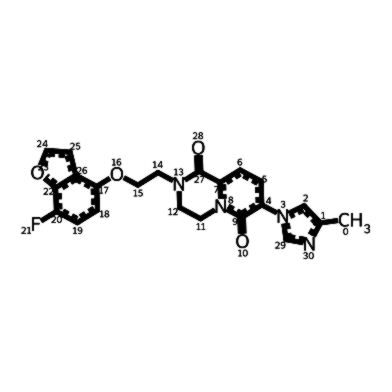 Cc1cn(-c2ccc3n(c2=O)CCN(CCOc2ccc(F)c4occc24)C3=O)cn1